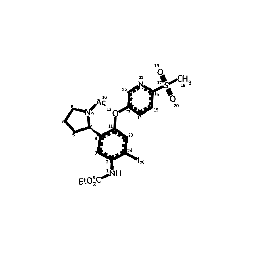 CCOC(=O)Nc1cc([C@H]2CCCN2C(C)=O)c(Oc2ccc(S(C)(=O)=O)nc2)cc1I